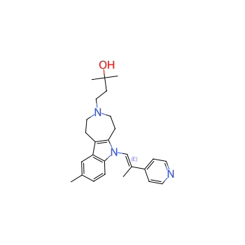 C/C(=C\n1c2c(c3cc(C)ccc31)CCN(CCC(C)(C)O)CC2)c1ccncc1